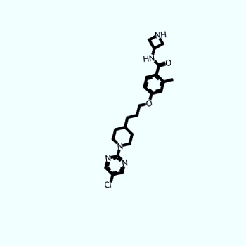 Cc1cc(OCCCC2CCN(c3ncc(Cl)cn3)CC2)ccc1C(=O)NC1CNC1